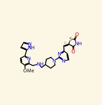 COc1ccc(-c2ccn[nH]2)nc1CNCC1CCN(c2nccc(/C=C3/SC(=O)NC3=O)n2)CC1